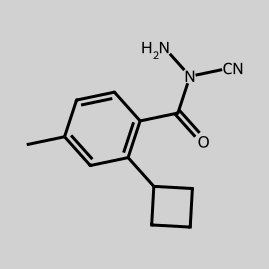 Cc1ccc(C(=O)N(N)C#N)c(C2CCC2)c1